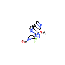 COc1nc(N[C@@H]2CCN(C3COC3)CC2(F)F)nn2ccc(-c3ccn4nccc4c3)c12